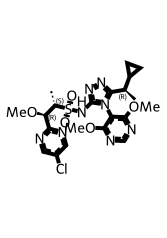 COc1ncnc(OC)c1-n1c(NS(=O)(=O)[C@@H](C)[C@H](OC)c2ncc(Cl)cn2)nnc1[C@H](C)C1CC1